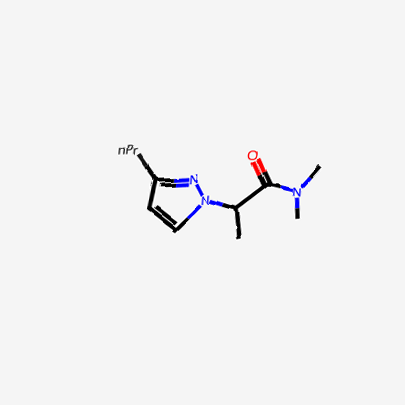 CCCc1ccn(C(C)C(=O)N(C)C)n1